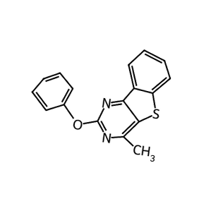 Cc1nc(Oc2ccccc2)nc2c1sc1ccccc12